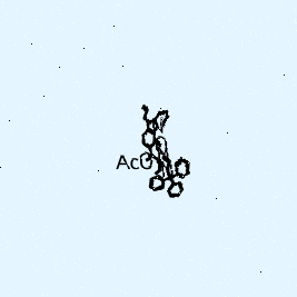 C=CCc1c2c(n3ccccc13)C(=O)C(C(OC(C)=O)c1ncn(C(c3ccccc3)(c3ccccc3)c3ccccc3)c1C)CC2